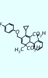 CC1(C(=O)O)C=C(COc2ccc(F)cc2)C(C2CC2)=C(C(=O)O)C1c1ccccc1F